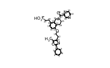 Cc1oc(-c2ccccc2)nc1CCOc1ccc(CCC(=O)O)c2c1CCN(C(=O)c1cnccn1)C2